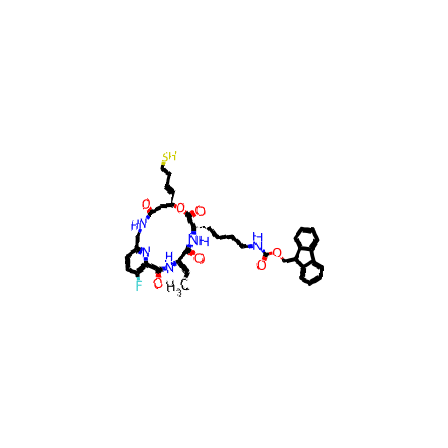 C/C=C1\NC(=O)c2nc(ccc2F)CNC(=O)C[C@@H](/C=C/CCS)OC(=O)[C@H](CCCCNC(=O)OCC2c3ccccc3-c3ccccc32)NC1=O